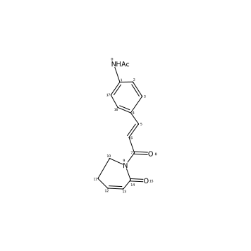 CC(=O)Nc1ccc(C=CC(=O)N2CCC=CC2=O)cc1